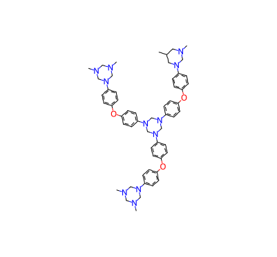 CC1CN(C)CN(c2ccc(Oc3ccc(N4CN(c5ccc(Oc6ccc(N7CN(C)CN(C)C7)cc6)cc5)CN(c5ccc(Oc6ccc(N7CN(C)CN(C)C7)cc6)cc5)C4)cc3)cc2)C1